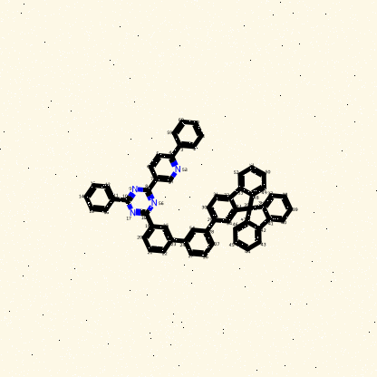 c1ccc(-c2ccc(-c3nc(-c4ccccc4)nc(-c4cccc(-c5cccc(-c6ccc7c(c6)C6(c8ccccc8-c8ccccc86)c6ccccc6-7)c5)c4)n3)cn2)cc1